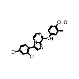 Cc1cc(Nc2nccn3c(-c4ccc(Cl)cc4Cl)cnc23)ccc1C=O